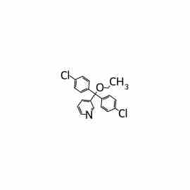 CCOC(c1ccc(Cl)cc1)(c1ccc(Cl)cc1)c1cccnc1